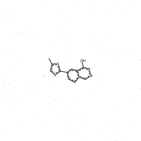 Cc1cnc(-c2ccc3cnnc(O)c3c2)s1